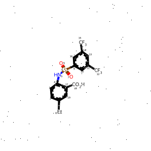 CCc1ccc(NS(=O)(=O)c2cc(C(F)(F)F)cc(C(F)(F)F)c2)c(C(=O)O)c1